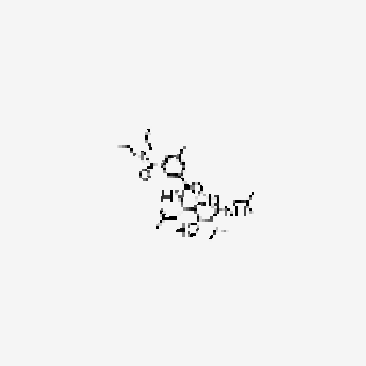 CCCN(CCC)C(=O)c1cc(C)cc(C(=O)N[C@@H](CC(C)C)[C@@H](O)[C@H](O)[C@H](C(=O)NCC(C)C)C(C)C)c1